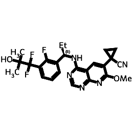 CC[C@@H](Nc1ncnc2nc(OC)c(C3(C#N)CC3)cc12)c1cccc(C(F)(F)C(C)(C)O)c1F